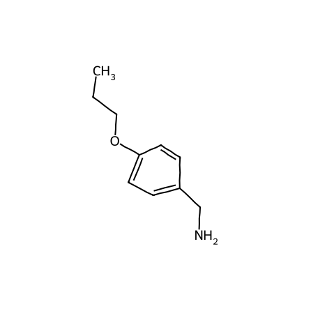 CCCOc1ccc(CN)cc1